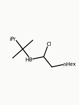 CCCCCCCC(Cl)BC(C)(C)C(C)C